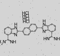 Cl.Cl.Cl.Cl.N=C(N)c1cccc2[nH]c(-c3ccc4cc(-c5nc6c(C(=N)N)cccc6[nH]5)ccc4c3)nc12